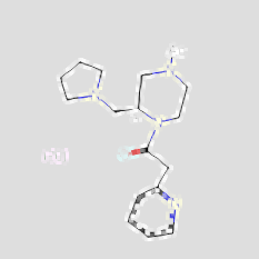 CC(=O)N1CCN(C(=O)Cc2ccccn2)[C@@H](CN2CCCC2)C1.Cl